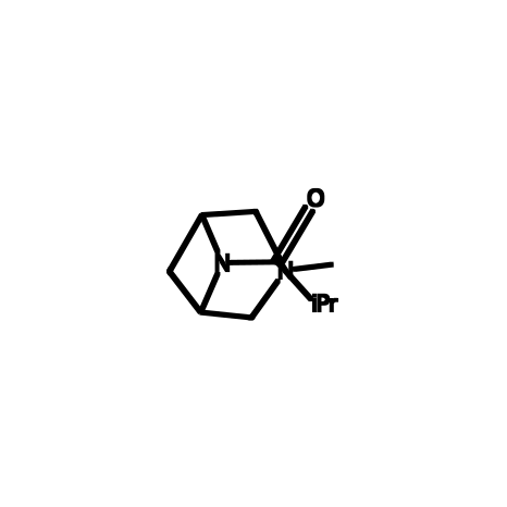 CC(C)C(=O)N1C2CC1CN(C)C2